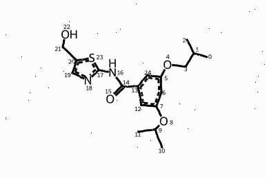 CC(C)COc1cc(OC(C)C)cc(C(=O)Nc2ncc(CO)s2)c1